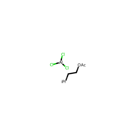 CC(=O)OCCC(C)C.[Cl][Al]([Cl])[Cl]